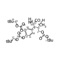 CC(COC(=O)OC(C)(C)C)C(c1ccc(OC(=O)OCC(C)(C)C)c(OC(=O)OCC(C)(C)C)c1)[C@H](N)C(=O)O